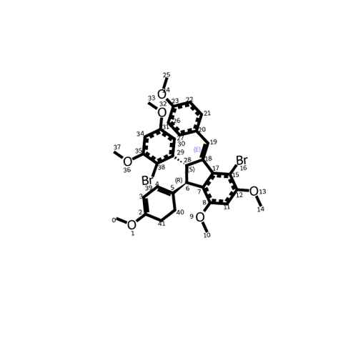 COC1=CC=C([C@@H]2c3c(OC)cc(OC)c(Br)c3/C(=C/c3ccc(OC)cc3)[C@H]2c2cc(OC)cc(OC)c2Br)CC1